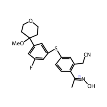 COC1(c2cc(F)cc(Sc3ccc(/C(C)=N/O)c(CC#N)c3)c2)CCOCC1